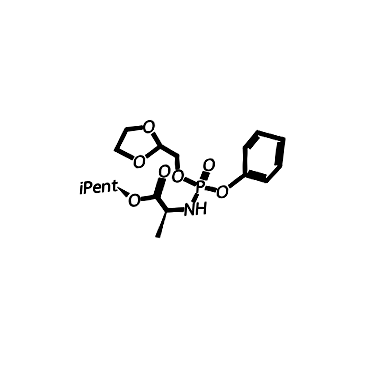 CCC[C@H](C)OC(=O)[C@H](C)NP(=O)(OCC1OCCO1)Oc1ccccc1